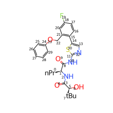 CCC[C@H](NC(=O)[C@@H](O)C(C)(C)C)C(=O)Nc1ncc(-c2ccc(F)cc2COc2ccccc2)s1